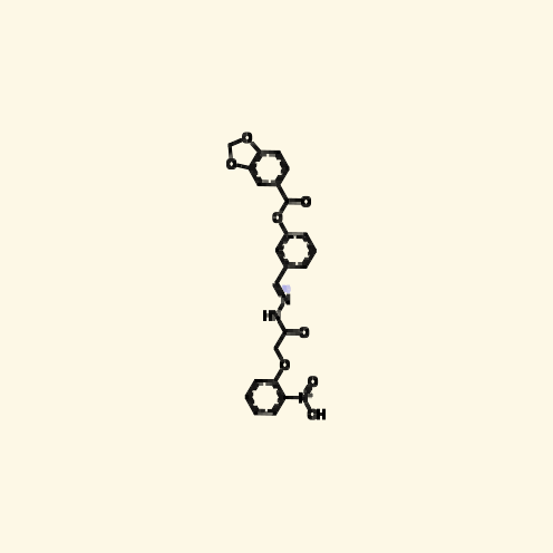 O=C(COc1ccccc1[N+](=O)O)N/N=C/c1cccc(OC(=O)c2ccc3c(c2)OCO3)c1